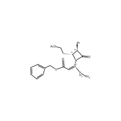 CC(=O)OCC[C@@H]1[C@@H](C(C)C)C(=O)N1/[PH](=C\C(=O)OCc1ccccc1)[PH3][PH4]